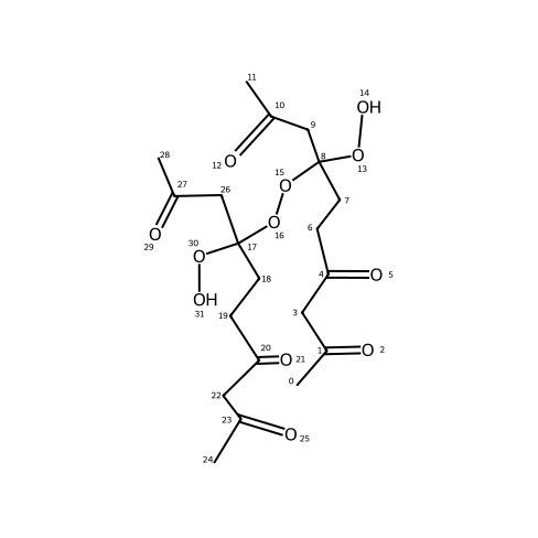 CC(=O)CC(=O)CCC(CC(C)=O)(OO)OOC(CCC(=O)CC(C)=O)(CC(C)=O)OO